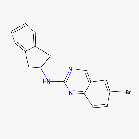 Brc1ccc2nc(NC3Cc4ccccc4C3)ncc2c1